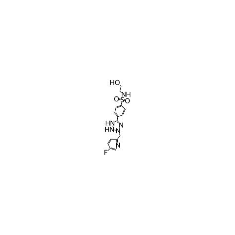 O=S(=O)(NCCO)c1ccc(C2=NN(Cc3ccc(F)cn3)NN2)cc1